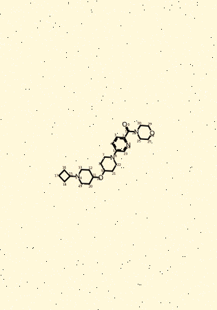 O=C(c1ccc(N2CCC(OC3CCN(C4CCC4)CC3)CC2)cn1)N1CCOCC1